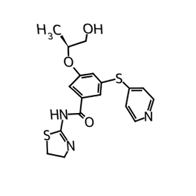 C[C@@H](CO)Oc1cc(Sc2ccncc2)cc(C(=O)NC2=NCCS2)c1